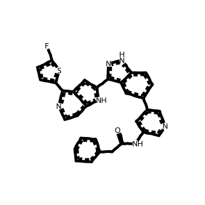 O=C(Cc1ccccc1)Nc1cncc(-c2ccc3[nH]nc(-c4cc5c(-c6ccc(F)s6)nccc5[nH]4)c3c2)c1